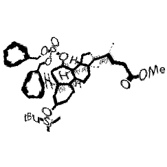 COC(=O)CC[C@@H](C)[C@H]1CC[C@H]2[C@@H]3[C@H](OP(=O)(OCc4ccccc4)OCc4ccccc4)C[C@@H]4CC(O[Si](C)(C)C(C)(C)C)CC[C@]4(C)[C@H]3CC[C@]12C